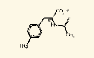 CC(F)N[C@@H](Cc1ccc(O)cc1)C(=O)O